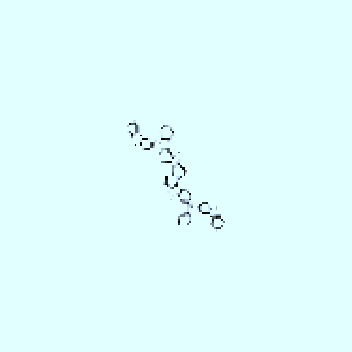 c1ccc(N(c2ccc3c(c2)sc2ccc4c(ccc5sc6cc(N(c7ccccc7)c7ccc8sc9ccccc9c8c7)ccc6c54)c23)c2ccc3sc4ccccc4c3c2)cc1